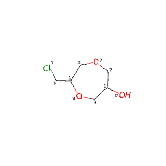 OC1COCC(CCl)OC1